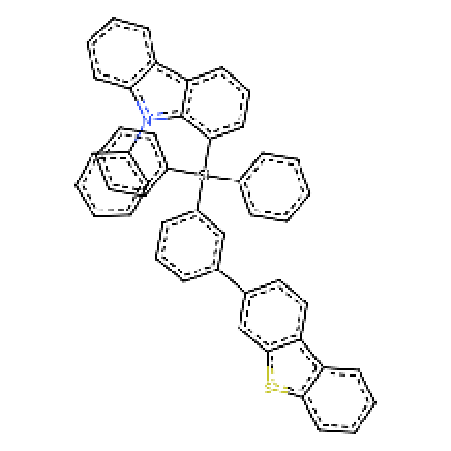 c1ccc(-n2c3ccccc3c3cccc([Si](c4ccccc4)(c4ccccc4)c4cccc(-c5ccc6c(c5)sc5ccccc56)c4)c32)cc1